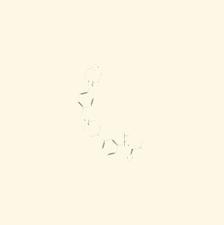 CC(C)C(=O)Nc1cccc(C2CCN(Cc3ccc(N4CCOCC4)cc3)CC2)c1